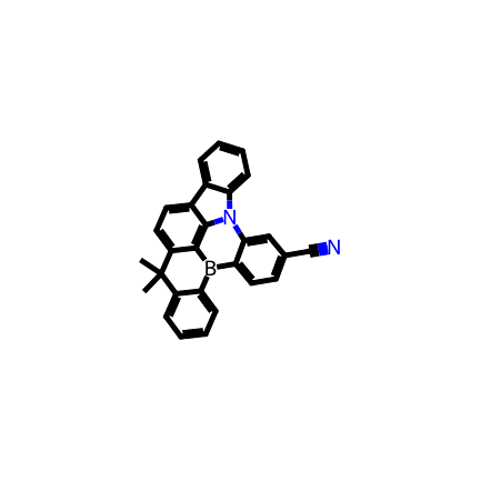 CC1(C)c2ccccc2B2c3ccc(C#N)cc3-n3c4ccccc4c4ccc1c2c43